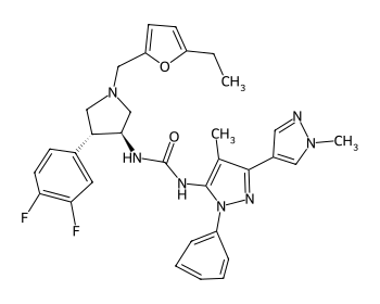 CCc1ccc(CN2C[C@@H](NC(=O)Nc3c(C)c(-c4cnn(C)c4)nn3-c3ccccc3)[C@H](c3ccc(F)c(F)c3)C2)o1